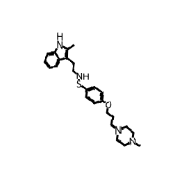 Cc1[nH]c2ccccc2c1CCNSc1ccc(OCCCN2CCN(C)CC2)cc1